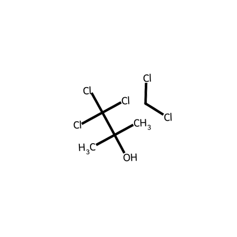 CC(C)(O)C(Cl)(Cl)Cl.ClCCl